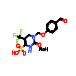 O=Cc1ccc(OCN2CC(C(F)(F)F)=C(S(=O)(=O)O)NC2=O)cc1.[NaH]